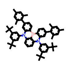 Cc1cc(C)c(-c2ccc3c(c2)N(c2cc(C(C)(C)C)cc(C(C)(C)C)c2)c2cccc4c2B3c2ccc(-c3c(C)cc(C)cc3C)cc2N4c2cc(C(C)(C)C)cc(C(C)(C)C)c2)c(C)c1